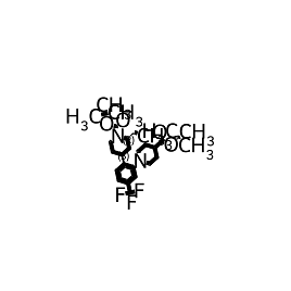 CC[C@@H]1C[C@@H](c2ccc(C(F)(F)F)cc2N2CCC(C(=O)OC(C)(C)C)CC2)CCN1C(=O)OC(C)(C)C